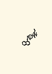 C=CCN(C)C(=C)C1(C)CCN(Cc2cccc3c2=CCCC=3)CC1